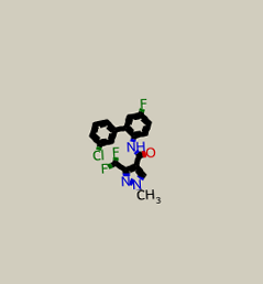 Cn1cc(C(=O)Nc2ccc(F)cc2-c2cccc(Cl)c2)c(C(F)F)n1